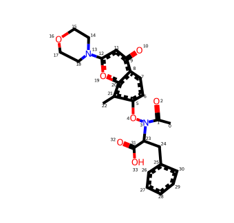 CC(=O)N(Oc1ccc2c(=O)cc(N3CCOCC3)oc2c1C)C(Cc1ccccc1)C(=O)O